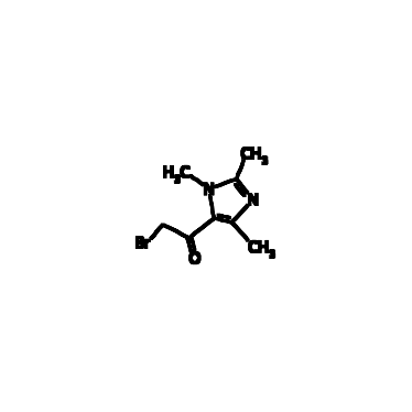 Cc1nc(C)n(C)c1C(=O)CBr